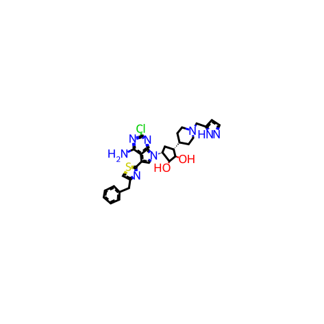 Nc1nc(Cl)nc2c1c(-c1nc(Cc3ccccc3)cs1)cn2[C@@H]1C[C@H](C2CCN(Cc3ccn[nH]3)CC2)[C@@H](O)[C@H]1O